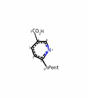 CCCCCc1ccc(C(=O)O)cn1